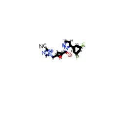 N#Cc1ncn(CC23CC(C(=O)N4N=CCC4c4cc(F)cc(F)c4)(C2)C3)n1